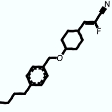 CCCCc1ccc(COC2CCC(C=C(F)C#N)CC2)cc1